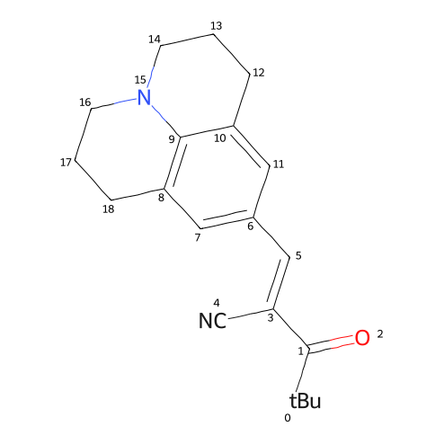 CC(C)(C)C(=O)/C(C#N)=C/c1cc2c3c(c1)CCCN3CCC2